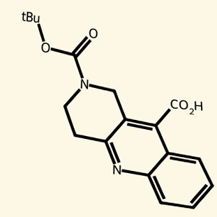 CC(C)(C)OC(=O)N1CCc2nc3ccccc3c(C(=O)O)c2C1